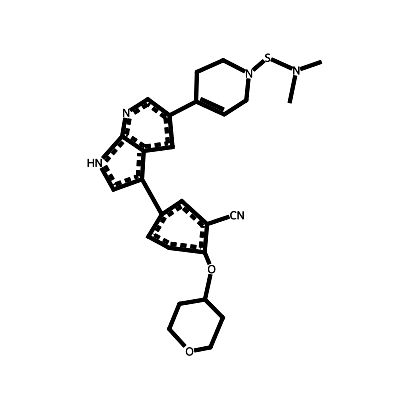 CN(C)SN1CC=C(c2cnc3[nH]cc(-c4ccc(OC5CCOCC5)c(C#N)c4)c3c2)CC1